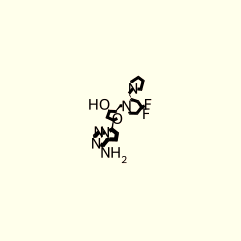 Nc1ncnn2c([C@H]3C[C@H](O)[C@@H](CN4CCC(F)(F)C[C@H]4CN4CCCC4)O3)ccc12